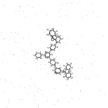 c1ccc(-c2nc(-c3ccc(-c4cncc(-n5c6ccccc6c6ccccc65)c4)cc3)cc(-c3ccc(-c4cccc5c4oc4ccccc45)cc3)n2)cc1